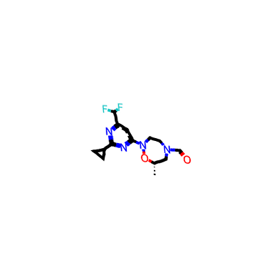 C[C@H]1CN(C=O)CCN(c2cc(C(F)F)nc(C3CC3)n2)O1